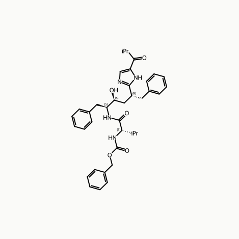 CC(C)C(=O)c1cnc([C@H](Cc2ccccc2)C[C@H](O)[C@H](Cc2ccccc2)NC(=O)[C@@H](NC(=O)OCc2ccccc2)C(C)C)[nH]1